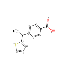 CC(c1ccc(C(=O)O)cc1)c1cccs1